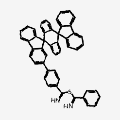 N=C(SC(=N)c1ccc(-c2ccc3c(c2)C2(c4ccccc4-3)c3ccccc3C3(c4ccccc4-c4ccccc43)c3ccccc32)cc1)c1ccccc1